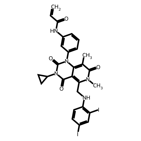 C=CC(=O)Nc1cccc(-n2c(=O)n(C3CC3)c(=O)c3c(CNc4ccc(I)cc4I)n(C)c(=O)c(C)c32)c1